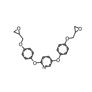 c1cc(Oc2ccc(Oc3ccc(OCC4CO4)cc3)nc2)ccc1OCC1CO1